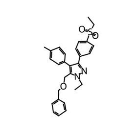 CCn1nc(-c2ccc(S(=O)(=O)CC)cc2)c(-c2ccc(C)cc2)c1COCc1ccccc1